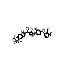 Cc1cc(Oc2cccc(F)c2F)ccc1-n1ncc(C(=O)c2cc3cc(N[S+](C)[O-])c(F)cc3[nH]2)c1N